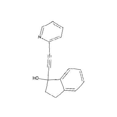 OC1(C#Cc2ccccn2)CCc2ccccc21